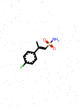 C/C(=C\S(N)(=O)=O)c1ccc(F)cc1